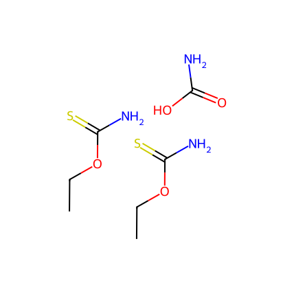 CCOC(N)=S.CCOC(N)=S.NC(=O)O